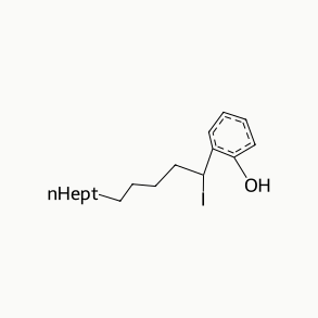 CCCCCCCCCCCC(I)c1ccccc1O